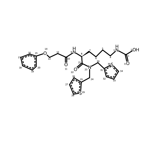 O=C(O)NCCCC[C@H](NC(=O)CCOc1ccccc1)C(=O)N(Cc1cccs1)Cc1cccs1